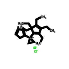 CCC1=C(CC)C(CC)(CC)[C]([Zr+2]2([C]3=CC=CC3)[CH2][CH2]2)=C1CC.[Cl-].[Cl-]